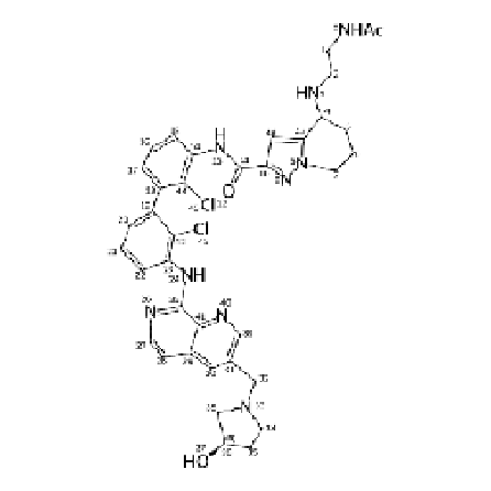 CC(=O)NCCNC1CCCn2nc(C(=O)Nc3cccc(-c4cccc(Nc5nccc6cc(CN7CC[C@@H](O)C7)cnc56)c4Cl)c3Cl)cc21